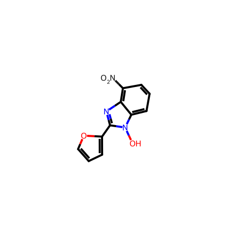 O=[N+]([O-])c1cccc2c1nc(-c1ccco1)n2O